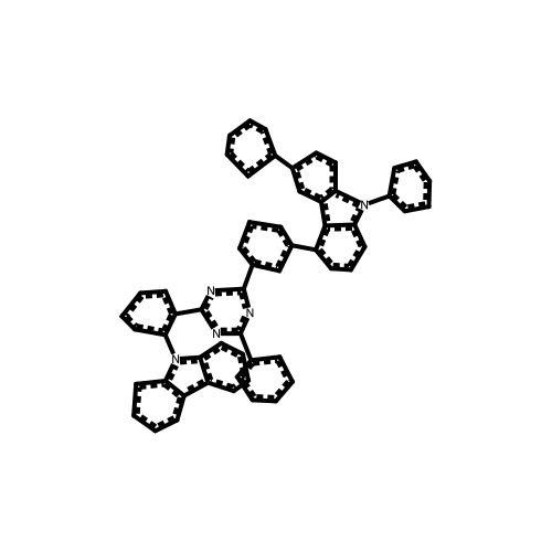 c1ccc(-c2ccc3c(c2)c2c(-c4cccc(-c5nc(-c6ccccc6)nc(-c6ccccc6-n6c7ccccc7c7ccccc76)n5)c4)cccc2n3-c2ccccc2)cc1